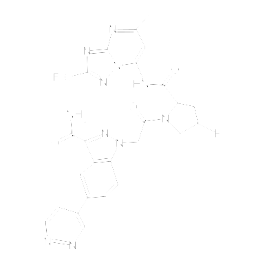 Cc1cc(NC(=O)C2CC(F)CN2C(=O)Cn2nc(C(N)=O)c3cc(-c4ccnnc4)ccc32)n2nc(C(F)(F)F)nc2n1